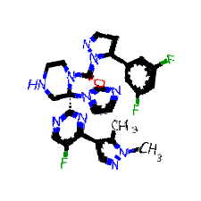 Cc1c(-c2nc([C@]3(n4ccnc4)CNCCN3C(=O)N3N=CCC3c3cc(F)cc(F)c3)ncc2F)cnn1C